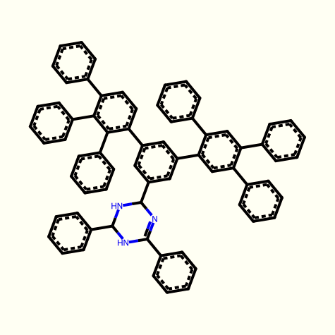 c1ccc(C2=NC(c3cc(-c4cc(-c5ccccc5)c(-c5ccccc5)cc4-c4ccccc4)cc(-c4ccc(-c5ccccc5)c(-c5ccccc5)c4-c4ccccc4)c3)NC(c3ccccc3)N2)cc1